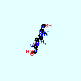 Cc1c(-c2nc3cc(CN4CC[C@@H](C(=O)O)C4)cc(C#N)c3o2)cccc1-c1cccc2c1CCN2c1nc(C(F)F)nc2cc(CN3CC[C@@H](O)C3)cnc12